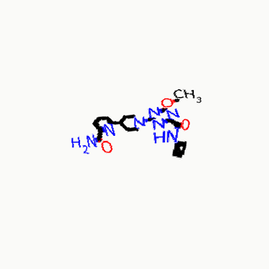 CCOc1nc(C(=O)NC23CC(C2)C3)nc(N2CCC(c3cccc(C(N)=O)n3)CC2)n1